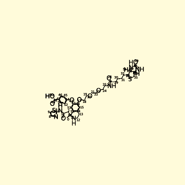 C[C@]1(CC(=O)Nc2nccs2)NCCc2cc(OCCOCCOCCNC(=O)CCCC[C@@H]3SC[C@@H]4NC(=O)N[C@@H]43)c(Oc3ccc(C(=O)O)cc3)cc21